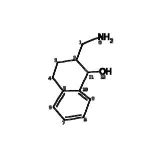 NCC1CCc2ccccc2C1O